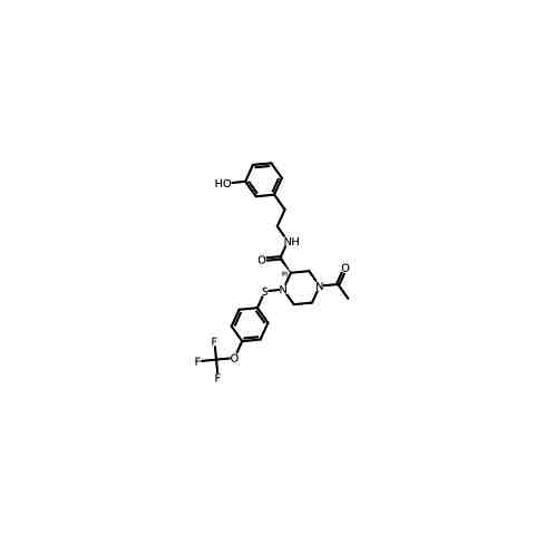 CC(=O)N1CCN(Sc2ccc(OC(F)(F)F)cc2)[C@@H](C(=O)NCCc2cccc(O)c2)C1